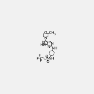 C[C@H]1CN(c2n[nH]c3nc(NC4CCC(NS(=O)(=O)CCC(F)(F)F)CC4)ncc23)CCO1